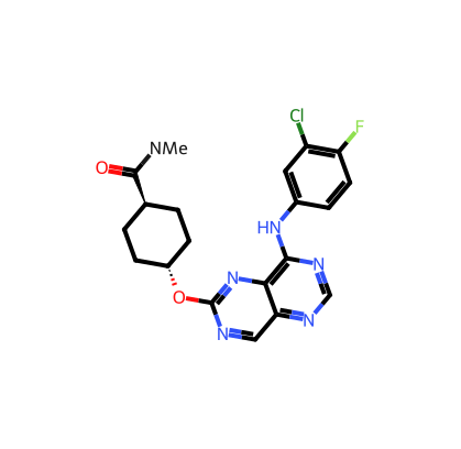 CNC(=O)[C@H]1CC[C@H](Oc2ncc3ncnc(Nc4ccc(F)c(Cl)c4)c3n2)CC1